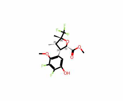 COC(=O)[C@H]1O[C@@](C)(C(F)(F)F)[C@@H](C)[C@H]1c1cc(O)c(F)c(F)c1OC